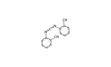 N#Cc1ccccc1N=C=Nc1ccccc1C#N